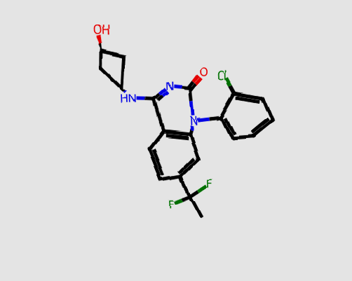 CC(F)(F)c1ccc2c(N[C@H]3C[C@H](O)C3)nc(=O)n(-c3ccccc3Cl)c2c1